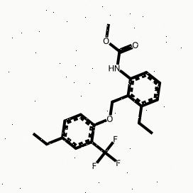 CCc1ccc(OCc2c(CC)cccc2NC(=O)OC)c(C(F)(F)F)c1